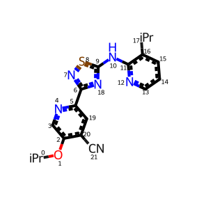 CC(C)Oc1cnc(-c2nsc(Nc3ncccc3C(C)C)n2)cc1C#N